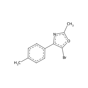 Cc1ccc(-c2nc(C)oc2Br)cc1